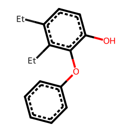 CCc1ccc(O)c(Oc2ccccc2)c1CC